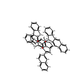 CC1C/C=C(c2cc3oc4ccccc4c3cc2-n2c3ccccc3c3cc4ccccc4cc32)/N=C(c2ccc3ccccc3c2)\N=C/1c1cccc2c1oc1ccccc12